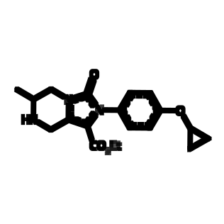 CCOC(=O)c1c2n(c(=O)n1-c1ccc(OC3CC3)cc1)CC(C)NC2